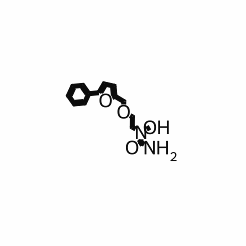 NC(=O)N(O)CCOCc1ccc(-c2ccccc2)o1